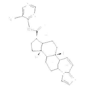 N#Cc1cncnc1NC(=O)[C@@H]1CC[C@H]2[C@@H]3CCC4[C@H](C=Cc5nccn54)[C@H]3CC[C@@H]21